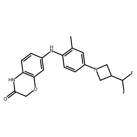 Cc1cc(N2CC(C(F)F)C2)ccc1Nc1ccc2c(c1)OCC(=O)N2